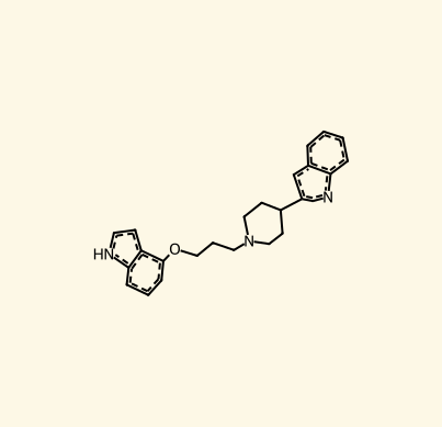 c1ccc2ncc(C3CCN(CCCOc4cccc5[nH]ccc45)CC3)cc2c1